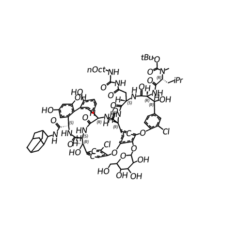 CCCCCCCCNC(=O)NC(=O)C[C@@H]1NC(=O)[C@H](NC(=O)[C@@H](CC(C)C)N(C)C(=O)OC(C)(C)C)[C@H](O)c2ccc(c(Cl)c2)Oc2cc3cc(c2OC2OC(CO)C(O)C(O)C2O)Oc2ccc(cc2Cl)[C@@H](O)[C@@H]2NC(=O)[C@H](NC(=O)[C@@H]3NC1=O)c1ccc(O)c(c1)-c1c(O)cc(O)cc1[C@@H](C(=O)NC1C3CC4CC(C3)CC1C4)NC2=O